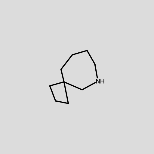 C1CCC2(CCC2)CNC1